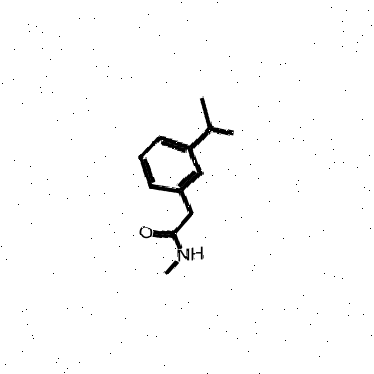 CNC(=O)Cc1cccc(C(C)C)c1